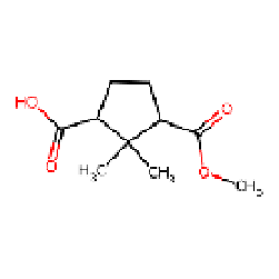 COC(=O)C1CCC(C(=O)O)C1(C)C